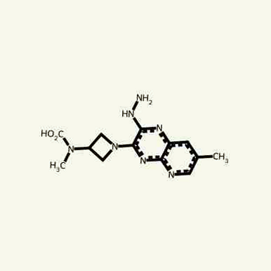 Cc1cnc2nc(N3CC(N(C)C(=O)O)C3)c(NN)nc2c1